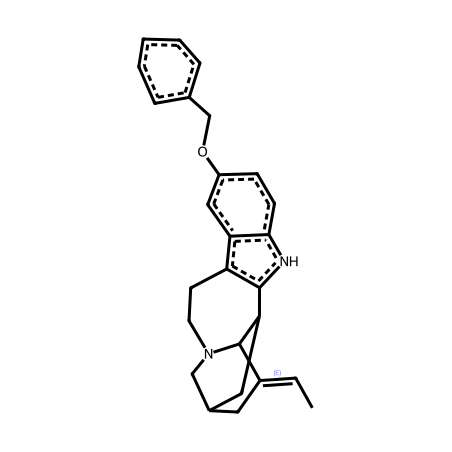 C/C=C1\CC2CC3c4[nH]c5ccc(OCc6ccccc6)cc5c4CCN(C2)C13